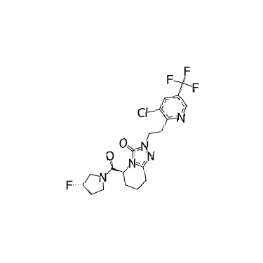 O=C([C@@H]1CCCc2nn(CCc3ncc(C(F)(F)F)cc3Cl)c(=O)n21)N1CC[C@H](F)C1